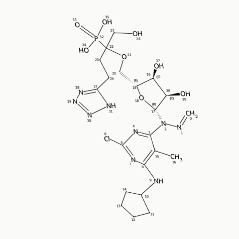 C=NN(c1nc(Cl)nc(NC2CCCC2)c1C)[C@@H]1O[C@H](COC(CO)(CCc2nnn[nH]2)P(=O)(O)O)[C@@H](O)[C@H]1O